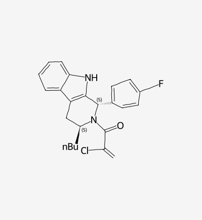 C=C(Cl)C(=O)N1[C@@H](CCCC)Cc2c([nH]c3ccccc23)[C@@H]1c1ccc(F)cc1